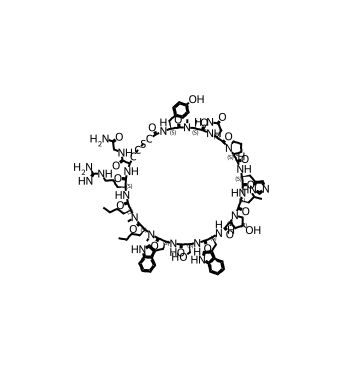 CCCC[C@H]1C(=O)N(C)[C@@H](CCCC)C(=O)N[C@@H](CCCNC(=N)N)C(=O)NC(C(=O)NCC(N)=O)CCSCC(=O)N[C@@H](Cc2ccc(O)cc2)C(=O)N(C)[C@@H](C)C(=O)N[C@@H](CC(N)=O)C(=O)N2CCC[C@H]2C(=O)N[C@@H](Cc2cnc[nH]2)C(=O)N[C@@H](CC(C)C)C(=O)N2C[C@H](O)C[C@H]2C(=O)N[C@@H](Cc2c[nH]c3ccccc23)C(=O)N[C@@H](CO)C(=O)N[C@@H](Cc2c[nH]c3ccccc23)C(=O)N1C